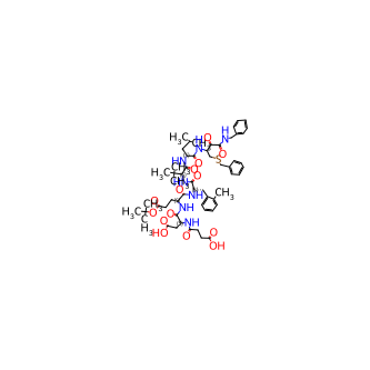 Cc1ccccc1C[C@H](NC(=O)[C@H](CCC(=O)OC(C)(C)C)NC(=O)[C@H](CC(=O)O)NC(=O)CCC(=O)O)C(=O)N[C@H](C(=O)N[C@@H](CC(C)C)C(=O)NC(CSCc1ccccc1)C(=O)C(=O)NCc1ccccc1)C(C)(C)C